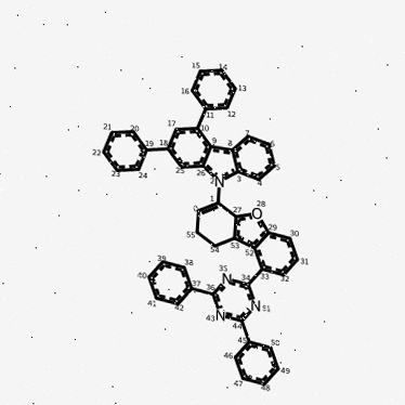 C1=C(n2c3ccccc3c3c(-c4ccccc4)cc(-c4ccccc4)cc32)c2oc3cccc(-c4nc(-c5ccccc5)nc(-c5ccccc5)n4)c3c2CC1